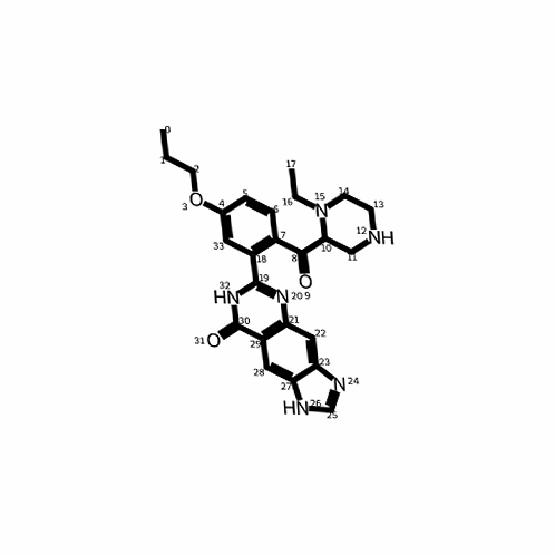 CCCOc1ccc(C(=O)C2CNCCN2CC)c(-c2nc3cc4nc[nH]c4cc3c(=O)[nH]2)c1